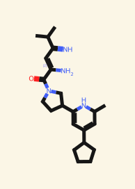 CC1C=C(C2CCCC2)C=C(C2CCN(C(=O)/C(N)=C/C(=N)C(C)C)C2)N1